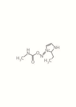 CCC1NC=C[N+]1=NOC(=O)NC